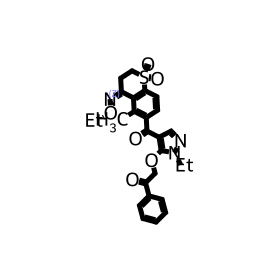 CCO/N=C1/CCS(=O)(=O)c2ccc(C(=O)c3cnn(CC)c3OCC(=O)c3ccccc3)c(C)c21